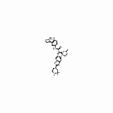 CC1CC[C@H](c2ccc3sc(C4CCN(C)C(C)(C)C4)nc3c2)N(C(=O)C(=O)Nc2cnc(N)c(C3COC3)c2)C1